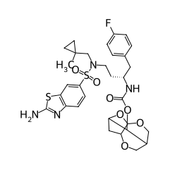 CC1(CN(CC[C@H](Cc2ccc(F)cc2)NC(=O)OC2C3COC4CC2OC4OC3)S(=O)(=O)c2ccc3nc(N)sc3c2)CC1